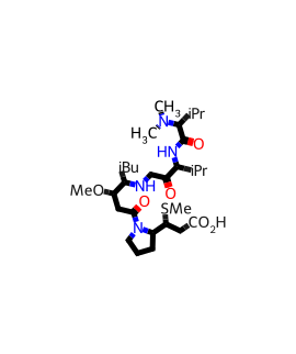 CCC(C)C(NCC(=O)C(NC(=O)C(C(C)C)N(C)C)C(C)C)C(CC(=O)N1CCCC1C(CC(=O)O)SC)OC